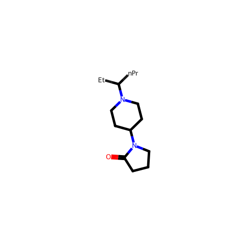 CCCC(CC)N1CCC(N2CCCC2=O)CC1